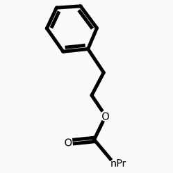 [CH2]CCC(=O)OCCc1ccccc1